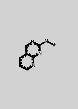 CC(C)[N]c1ncc2cccnc2n1